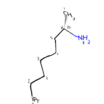 CC(C)CCCCC[C@H](C)N